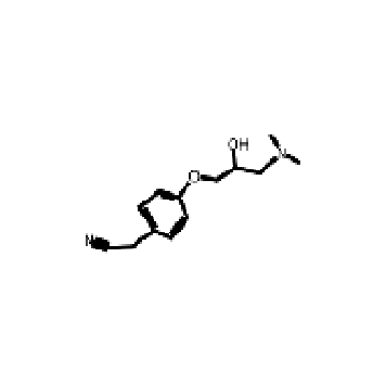 CN(C)CC(O)COc1ccc(CC#N)cc1